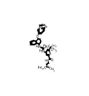 CN(C)CCNC(=O)c1cc(NC(=O)NC2CCC(Oc3ccc4nncn4c3)c3ccccc32)cc(C(C)(C)C)n1